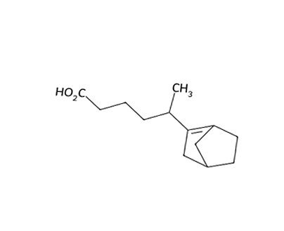 CC(CCCC(=O)O)C1=C2CCC(C2)C1